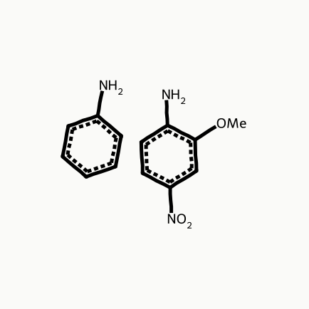 COc1cc([N+](=O)[O-])ccc1N.Nc1ccccc1